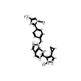 CCn1cc(C(F)(F)F)nc1-c1ccc(Cn2ncc3cnc(-c4c(C5CC5)cnn4CC)nc32)cc1